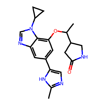 Cc1ncc(-c2cc(OC(C)C3CNC(=O)C3)c3c(c2)ncn3C2CC2)[nH]1